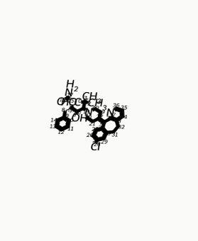 CC(C)(C)C([C@@H](O)[C@H](Cc1ccccc1)OC(N)=O)N1CCC(=C2c3ccc(Cl)cc3CCc3cccnc32)CC1